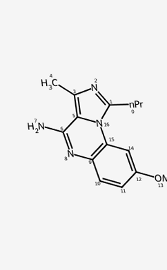 CCCc1nc(C)c2c(N)nc3ccc(OC)cc3n12